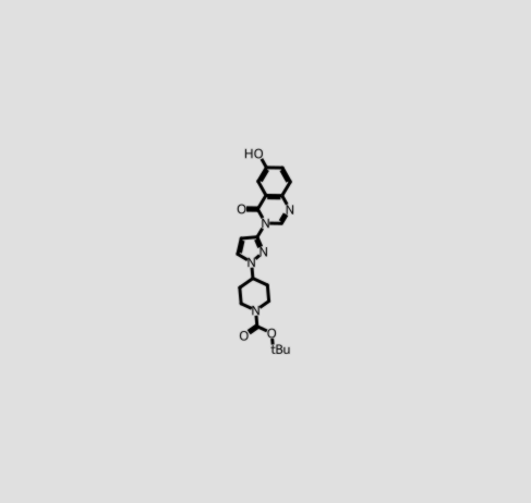 CC(C)(C)OC(=O)N1CCC(n2ccc(-n3cnc4ccc(O)cc4c3=O)n2)CC1